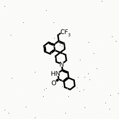 O=c1[nH]c(N2CCC3(CC=C(CC(F)(F)F)c4ccccc43)CC2)cc2c1CCCC2